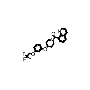 O=C(c1cccc2cccnc12)N1CCC(Oc2cccc(OCC(F)(F)F)c2)CC1